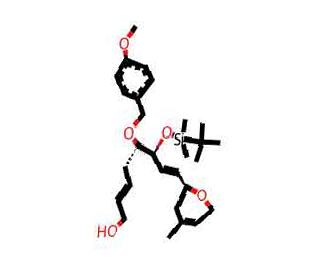 COc1ccc(CO[C@@H](C/C=C/CO)[C@H](/C=C/[C@@H]2CC(C)=CCO2)O[Si](C)(C)C(C)(C)C)cc1